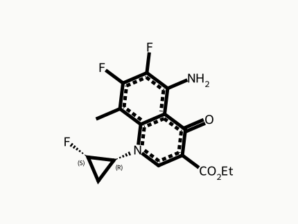 CCOC(=O)c1cn([C@@H]2C[C@@H]2F)c2c(C)c(F)c(F)c(N)c2c1=O